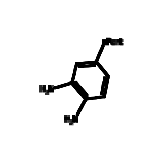 CCCCCc1ccc(N)c(N)c1